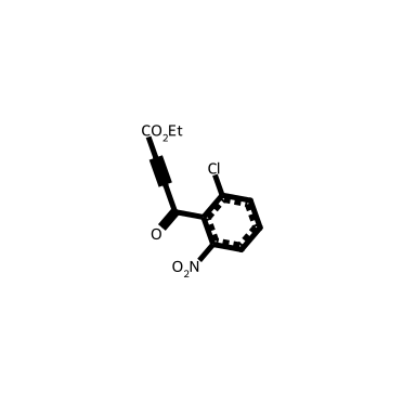 CCOC(=O)C#CC(=O)c1c(Cl)cccc1[N+](=O)[O-]